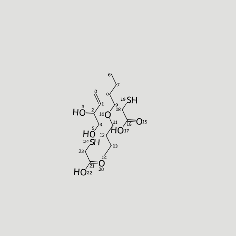 C=CC(O)CO.CCCCOCCCC.O=C(O)CS.O=C(O)CS